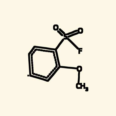 COc1c[c]ccc1S(=O)(=O)F